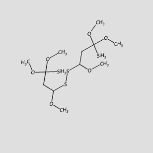 COC(CC([SiH3])(OC)OC)SSC(CC([SiH3])(OC)OC)OC